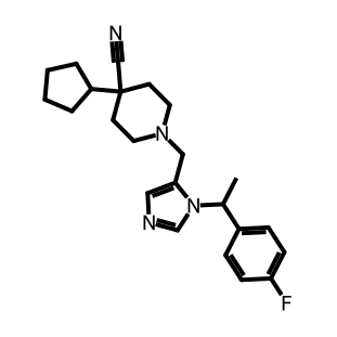 CC(c1ccc(F)cc1)n1cncc1CN1CCC(C#N)(C2CCCC2)CC1